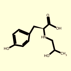 CC(O)CN[C@@H](Cc1ccc(O)cc1)C(=O)O